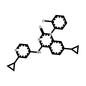 O=c1nc(Nc2ccnc(C3CC3)c2)c2ccc(C3CC3)cc2n1-c1ccccc1Cl